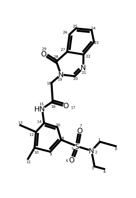 CCN(CC)S(=O)(=O)c1cc(C)c(C)c(NC(=O)Cn2cnc3ccccc3c2=O)c1